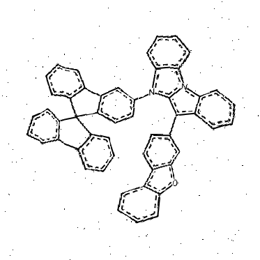 c1ccc2c(c1)-c1ccccc1C21c2ccccc2-c2cc(-n3c4ccccc4n4c5ccccc5c(-c5ccc6c(c5)oc5ccccc56)c34)ccc21